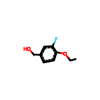 CCOc1ccc([CH]O)cc1F